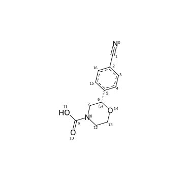 N#Cc1ccc([C@H]2CN(C(=O)O)CCO2)cc1